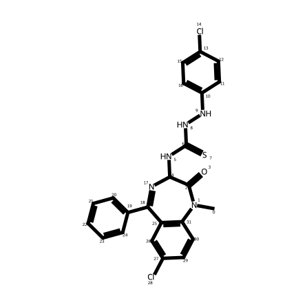 CN1C(=O)C(NC(=S)NNc2ccc(Cl)cc2)N=C(c2ccccc2)c2cc(Cl)ccc21